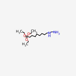 CCO[Si](CCCCCCCCNCN)(OCC)OCC